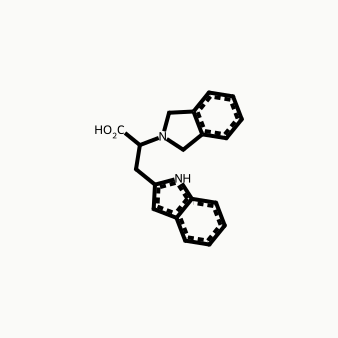 O=C(O)C(Cc1cc2ccccc2[nH]1)N1Cc2ccccc2C1